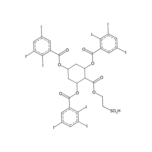 O=C(OC1CC(OC(=O)c2cc(I)cc(I)c2I)C(C(=O)OCCS(=O)(=O)O)C(OC(=O)c2cc(I)cc(I)c2I)C1)c1cc(I)cc(I)c1I